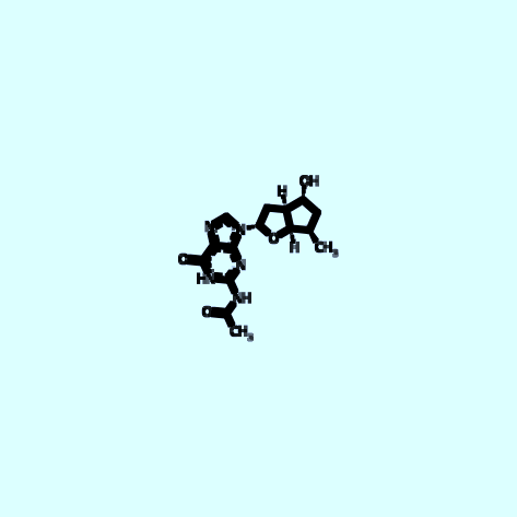 CC(=O)Nc1nc2c(ncn2[C@@H]2C[C@@H]3[C@H](O2)[C@H](C)C[C@H]3O)c(=O)[nH]1